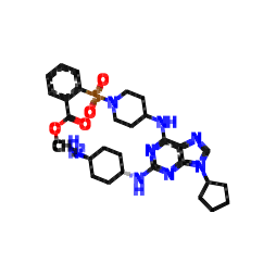 COC(=O)c1ccccc1S(=O)(=O)N1CCC(Nc2nc(N[C@H]3CC[C@H](N)CC3)nc3c2ncn3C2CCCC2)CC1